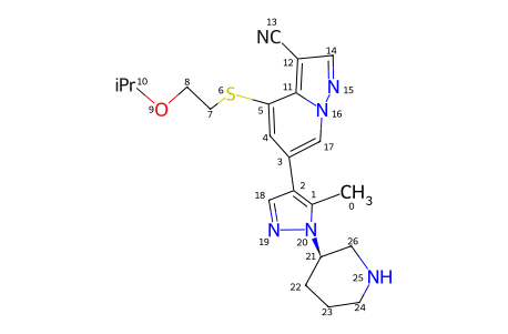 Cc1c(-c2cc(SCCOC(C)C)c3c(C#N)cnn3c2)cnn1[C@@H]1CCCNC1